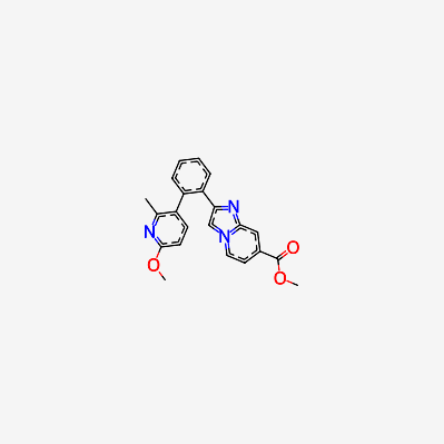 COC(=O)c1ccn2cc(-c3ccccc3-c3ccc(OC)nc3C)nc2c1